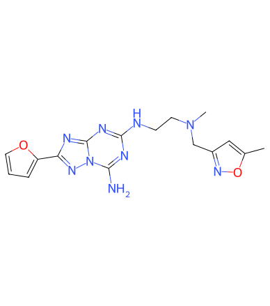 Cc1cc(CN(C)CCNc2nc(N)n3nc(-c4ccco4)nc3n2)no1